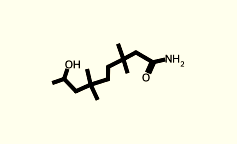 CC(O)CC(C)(C)CCC(C)(C)CC(N)=O